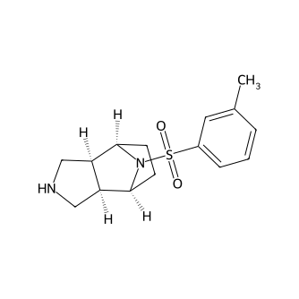 Cc1cccc(S(=O)(=O)N2[C@@H]3CC[C@H]2[C@H]2CNC[C@H]23)c1